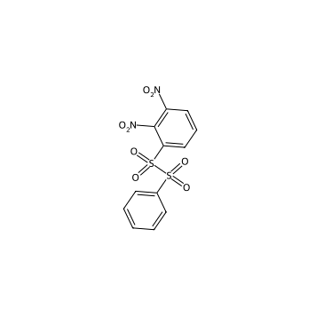 O=[N+]([O-])c1cccc(S(=O)(=O)S(=O)(=O)c2ccccc2)c1[N+](=O)[O-]